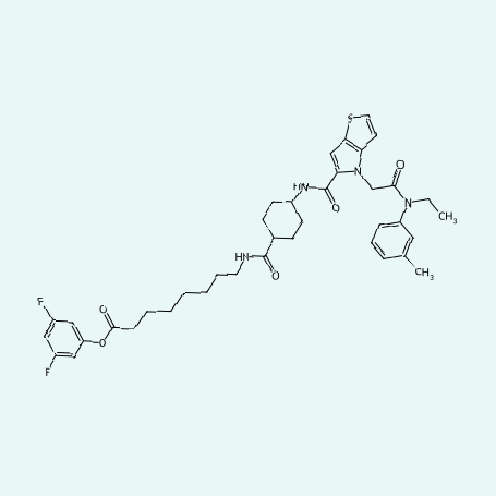 CCN(C(=O)Cn1c(C(=O)NC2CCC(C(=O)NCCCCCCCC(=O)Oc3cc(F)cc(F)c3)CC2)cc2sccc21)c1cccc(C)c1